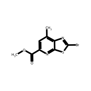 COC(=O)c1cc(C)c2nc(Br)sc2n1